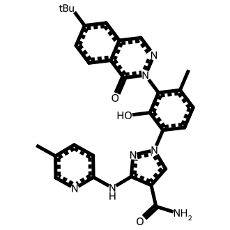 Cc1ccc(Nc2nn(-c3ccc(C)c(-n4ncc5cc(C(C)(C)C)ccc5c4=O)c3O)cc2C(N)=O)nc1